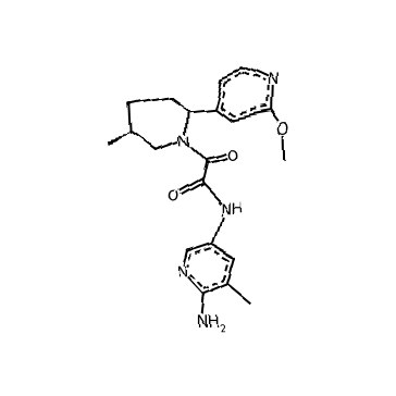 COc1cc(C2CC[C@H](C)CN2C(=O)C(=O)Nc2cnc(N)c(C)c2)ccn1